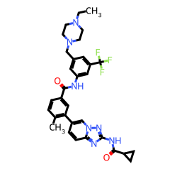 CCN1CCN(Cc2cc(NC(=O)c3ccc(C)c(-c4ccc5nc(NC(=O)C6CC6)nn5c4)c3)cc(C(F)(F)F)c2)CC1